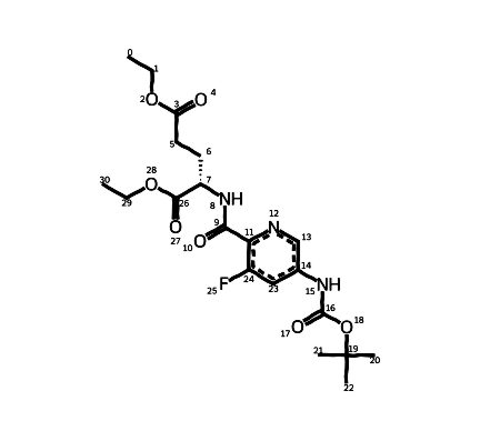 CCOC(=O)CC[C@H](NC(=O)c1ncc(NC(=O)OC(C)(C)C)cc1F)C(=O)OCC